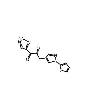 O=C(Cc1cnn(-c2cccs2)c1)C(=O)c1nn[nH]n1